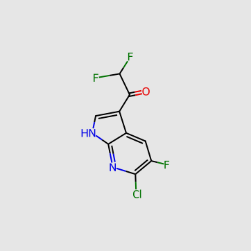 O=C(c1c[nH]c2nc(Cl)c(F)cc12)C(F)F